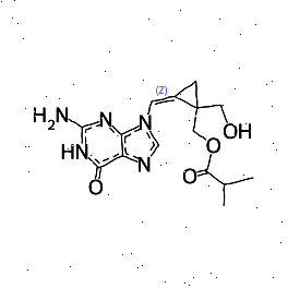 CC(C)C(=O)OCC1(CO)C/C1=C/n1cnc2c(=O)[nH]c(N)nc21